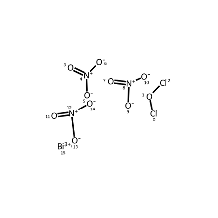 ClOCl.O=[N+]([O-])[O-].O=[N+]([O-])[O-].O=[N+]([O-])[O-].[Bi+3]